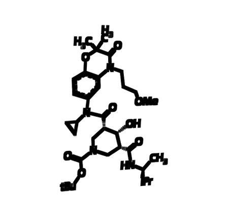 COCCCN1C(=O)C(C)(C)Oc2ccc(N(C(=O)[C@H]3CN(C(=O)OC(C)(C)C)C[C@@H](C(=O)N[C@@H](C)C(C)C)[C@H]3O)C3CC3)cc21